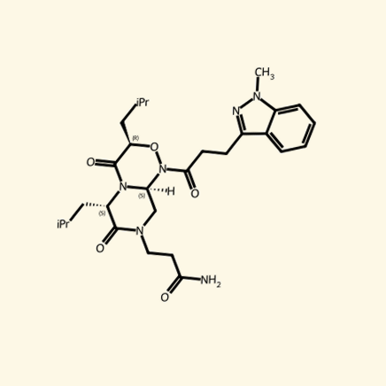 CC(C)C[C@H]1ON(C(=O)CCc2nn(C)c3ccccc23)[C@H]2CN(CCC(N)=O)C(=O)[C@H](CC(C)C)N2C1=O